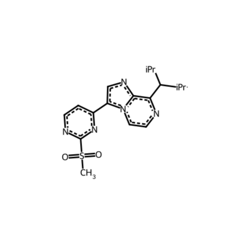 C[C](C)C(c1nccn2c(-c3ccnc(S(C)(=O)=O)n3)cnc12)C(C)C